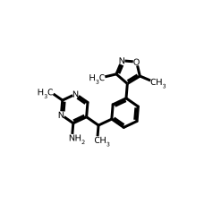 Cc1ncc(C(C)c2cccc(-c3c(C)noc3C)c2)c(N)n1